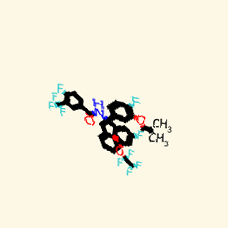 CC(C)COc1cc(C(Cc2ccccc2)(NC(=O)c2ccc(F)c(C(F)(F)F)c2)c2cc(F)cc(OC(F)(F)C(F)F)c2)ccc1F